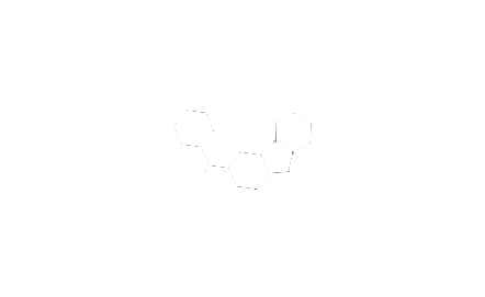 C1CCC(CC2CCC3CC4CCCCC4C3C2)CC1